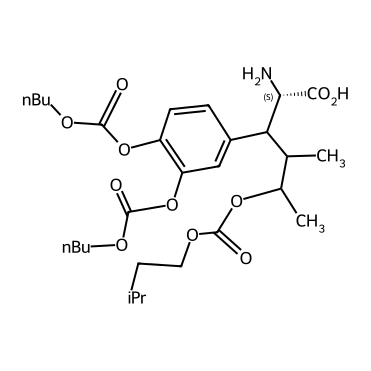 CCCCOC(=O)Oc1ccc(C(C(C)C(C)OC(=O)OCCC(C)C)[C@H](N)C(=O)O)cc1OC(=O)OCCCC